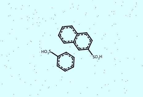 O=S(=O)(O)c1ccc2ccccc2c1.O=S(=O)(O)c1ccccc1